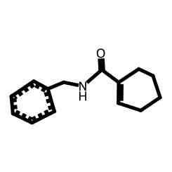 O=C(NCc1ccccc1)C1=CCCCC1